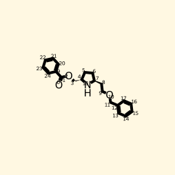 O=C(OC[C@@H]1CC[C@@H](CCOCc2ccccc2)N1)c1ccccc1